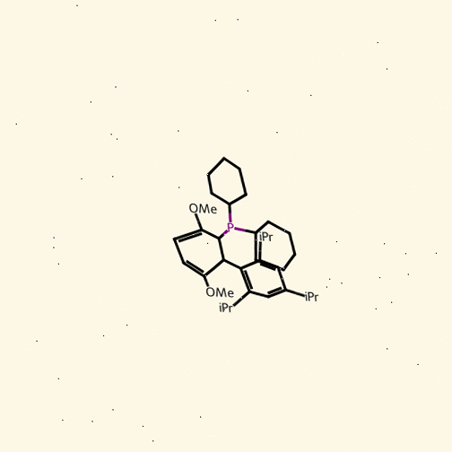 COC1=CC=C(OC)C(P(C2CCCCC2)C2CCCCC2)C1c1c(C(C)C)cc(C(C)C)cc1C(C)C